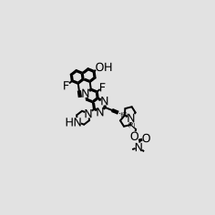 C#Cc1c(F)ccc2cc(O)cc(-c3ncc4c(N5CCNCC5)nc(C#C[C@]56CCCN5[C@@H](COC(=O)N(C)C)CC6)nc4c3F)c12